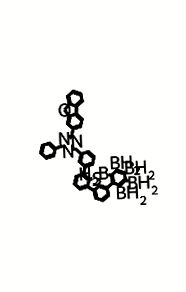 Bc1c(B)c(B)c(-c2cccc3c2sc2c(-c4cccc(-c5nc(-c6ccccc6)nc(-c6ccc7c(c6)oc6ccccc67)n5)c4)cccc23)c(B)c1B